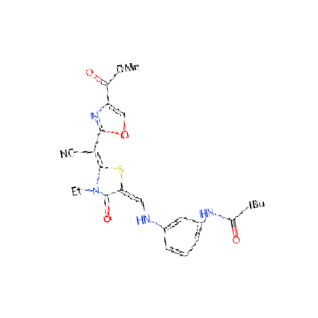 CCn1c(=O)/c(=C\Nc2cccc(NC(=O)C(C)(C)C)c2)s/c1=C(/C#N)c1nc(C(=O)OC)co1